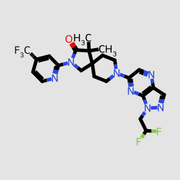 CC1(C)C(=O)N(c2cc(C(F)(F)F)ccn2)CC12CCN(c1cnc3cnn(CC(F)F)c3n1)CC2